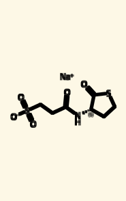 O=C(CCS(=O)(=O)[O-])N[C@H]1CCSC1=O.[Na+]